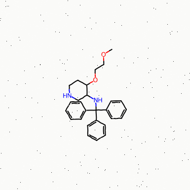 COCCOC1CCNCC1NC(c1ccccc1)(c1ccccc1)c1ccccc1